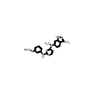 COSc1cccc(Nc2nccc(N(C)c3ccc4c(C)n[nH]c4c3)n2)c1